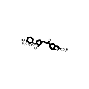 CCC(CCc1ccc(OC2CCCC(C)(C)C2O)c(C)c1)c1ccc2oc(C(=O)O)cc2c1